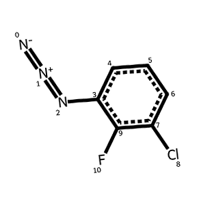 [N-]=[N+]=Nc1cccc(Cl)c1F